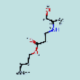 CCCCCCCCCCCCOC(=O)CCNC(CO)C(C)=O